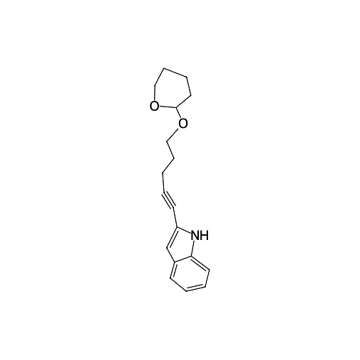 C(#Cc1cc2ccccc2[nH]1)CCCOC1CCCCO1